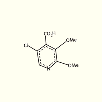 COc1ncc(Cl)c(C(=O)O)c1OC